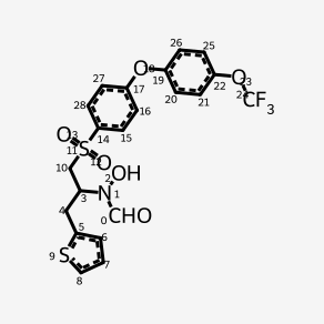 O=CN(O)C(Cc1cccs1)CS(=O)(=O)c1ccc(Oc2ccc(OC(F)(F)F)cc2)cc1